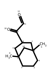 CC12CCCC(C)(CC(C(=O)C=O)C1)C2